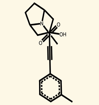 Cc1cccc(C#CC2(O)CC3CCC(C2)N3S(C)(=O)=O)c1